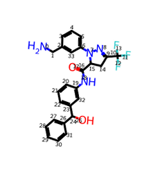 NCc1cccc(N2N=C(C(F)(F)F)CC2C(=O)Nc2cccc(C(O)c3ccccc3)c2)c1